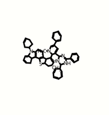 CC1C=C(C2C(C3N=C(c4ccccc4)NC(C4C=CC=CC=C4)N3)=CC(c3ccccc3)=CN2C)C2c3ccc4c(c3SC2C1)C1CC=CC=C1N4C1CC=CCC1